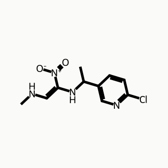 CNC=C(NC(C)c1ccc(Cl)nc1)[N+](=O)[O-]